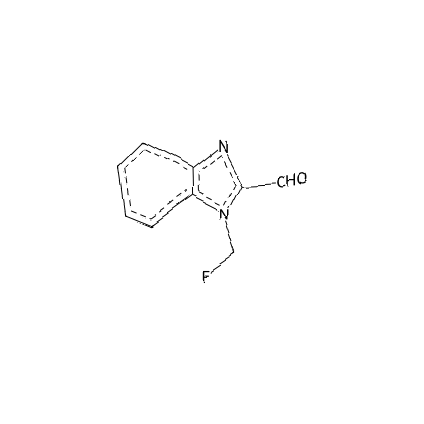 O=Cc1nc2ccccc2n1CF